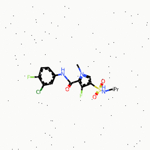 CC(C)NS(=O)(=O)c1cn(C)c(C(=O)Nc2ccc(F)c(Cl)c2)c1F